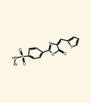 CC(C)NS(=O)(=O)c1ccc(C2=NC(=Cc3cccs3)C(=O)O2)cc1